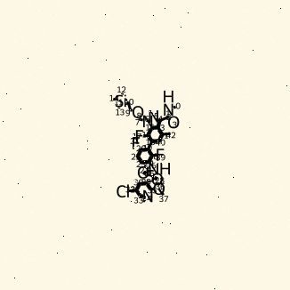 CNC(=O)c1nn(COCC[Si](C)(C)C)c2c(F)c(-c3c(F)ccc(NS(=O)(=O)c4cc(Cl)cnc4OC)c3F)cc(C)c12